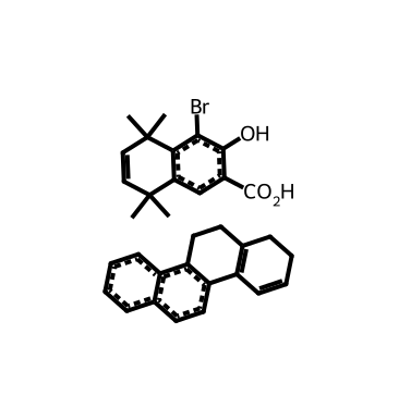 C1=CC2=C(CC1)CCc1c2ccc2ccccc12.CC1(C)C=CC(C)(C)c2c1cc(C(=O)O)c(O)c2Br